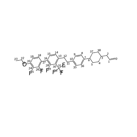 C=CCC1CCC(c2ccc(CCc3ccc(-c4ccc(OCC)c(F)c4F)c(F)c3C(F)(F)F)cc2)CC1